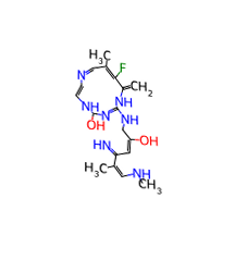 C=C1N/C(NC/C(O)=C\C(=N)/C(C)=C\NC)=N\C(O)N/C=C/N=C\C(C)=C/1F